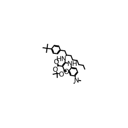 CCCCCCC(Cc1ccc(C(C)(C)C)cc1)NC(Nc1ccc(N(C)C)cc1)=C1C(=O)OC(C)(C)OC1=O